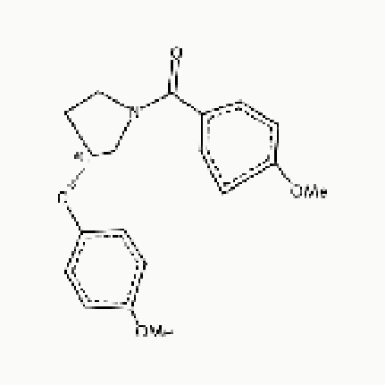 COc1ccc(O[C@@H]2CCN(C(=O)c3ccc(OC)cc3)C2)cc1